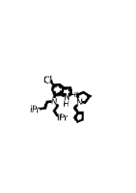 CC(C)CCN(CCC(C)C)c1cc(Cl)cc2cc([C@@H]3CCCN3CC3CCCC3)[nH]c12